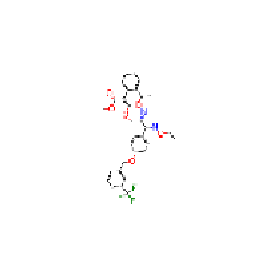 CCON=C(C=NOC(C)c1ccccc1C(=COC)C(=O)OC)c1ccc(OCc2cccc(C(F)(F)F)c2)cc1